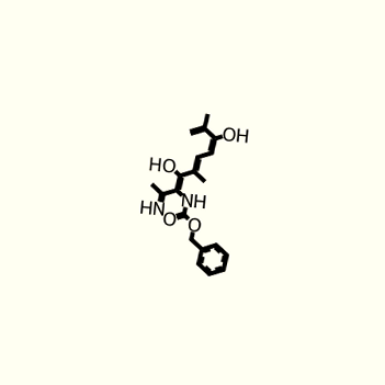 C=C(C)\C(O)=C/C=C(C)/C(O)=C(\NC(=O)OCc1ccccc1)C(C)=N